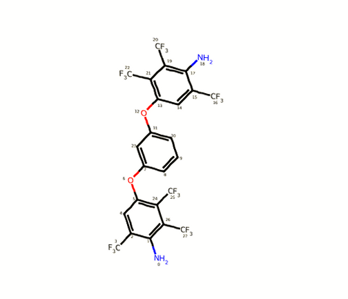 Nc1c(C(F)(F)F)cc(Oc2cccc(Oc3cc(C(F)(F)F)c(N)c(C(F)(F)F)c3C(F)(F)F)c2)c(C(F)(F)F)c1C(F)(F)F